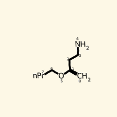 C=C(CCN)OCCCC